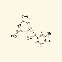 C/C(=C\N1CC(C)OC(C)C1)c1cccc(Br)c1